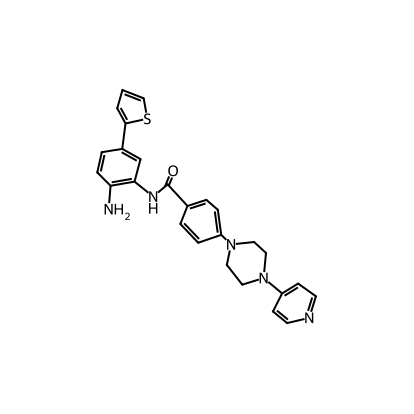 Nc1ccc(-c2cccs2)cc1NC(=O)c1ccc(N2CCN(c3ccncc3)CC2)cc1